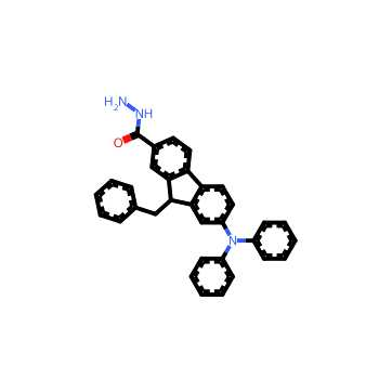 NNC(=O)c1ccc2c(c1)C(Cc1ccccc1)c1cc(N(c3ccccc3)c3ccccc3)ccc1-2